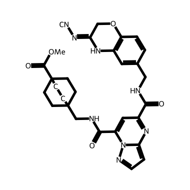 [C-]#[N+]/N=C1\COc2ccc(CNC(=O)c3cc(C(=O)NCC45CCC(C(=O)OC)(CC4)CC5)n4nccc4n3)cc2N1